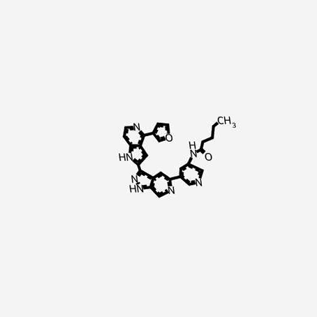 CCCCC(=O)Nc1cncc(-c2cc3c(-c4cc5c(-c6ccoc6)nccc5[nH]4)n[nH]c3cn2)c1